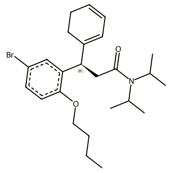 CCCCOc1ccc(Br)cc1[C@H](CC(=O)N(C(C)C)C(C)C)C1=CC=CCC1